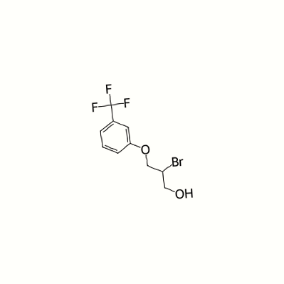 OCC(Br)COc1cccc(C(F)(F)F)c1